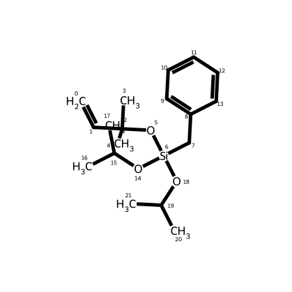 C=CC(C)(C)O[Si](Cc1ccccc1)(OC(C)C)OC(C)C